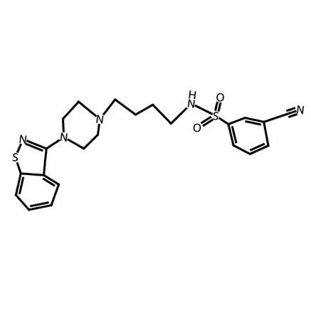 N#Cc1cccc(S(=O)(=O)NCCCCN2CCN(c3nsc4ccccc34)CC2)c1